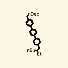 CCCCCCCCCCCc1ccc(-c2ccc(C3CCC(CC(CC)CCCC)CC3)cc2)cc1